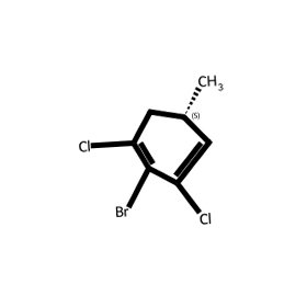 C[C@@H]1C=C(Cl)C(Br)=C(Cl)C1